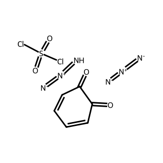 O=C1C=CC=CC1=O.O=S(=O)(Cl)Cl.[N-]=[N+]=N.[N-]=[N+]=[N-]